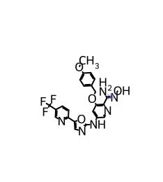 COc1ccc(COc2cc(Nc3ncc(-c4ccc(C(F)(F)F)cn4)o3)cnc2/C(N)=N/O)cc1